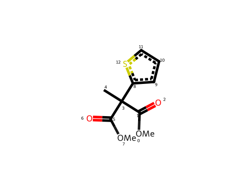 COC(=O)C(C)(C(=O)OC)c1cccs1